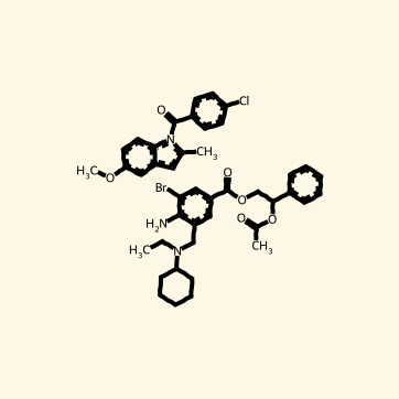 CCN(Cc1cc(C(=O)OCC(OC(C)=O)c2ccccc2)cc(Br)c1N)C1CCCCC1.COc1ccc2c(c1)cc(C)n2C(=O)c1ccc(Cl)cc1